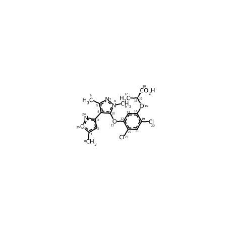 Cc1cc(-c2c(C)nn(C)c2Oc2cc(O[C@@H](C)C(=O)O)c(Cl)cc2Cl)no1